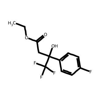 CCOC(=O)CC(O)(c1ccc(F)cc1)C(F)(F)F